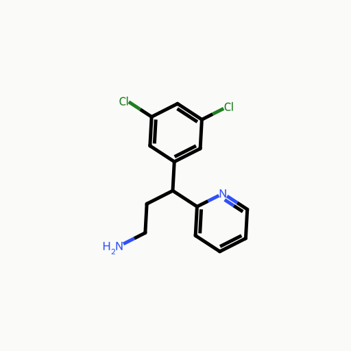 NCCC(c1cc(Cl)cc(Cl)c1)c1ccccn1